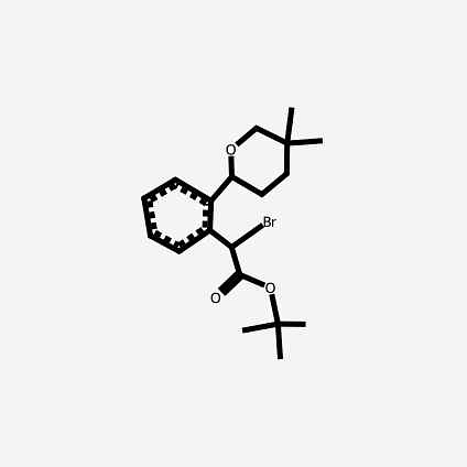 CC1(C)CCC(c2ccccc2C(Br)C(=O)OC(C)(C)C)OC1